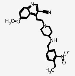 CCc1ccc(CNC2CCN(CCc3c(C#N)cnc4ccc(OC)cc34)CC2)cc1[N+](=O)[O-]